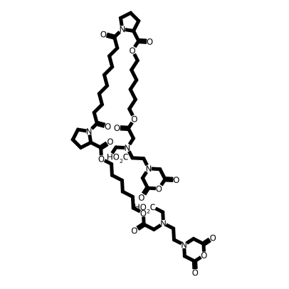 O=C(O)CN(CCN1CC(=O)OC(=O)C1)CC(=O)OCCCCCCOC(=O)C1CCCN1C(=O)CCCCCCCCC(=O)N1CCCC1C(=O)OCCCCCCOC(=O)CN(CCN1CC(=O)OC(=O)C1)CC(=O)O